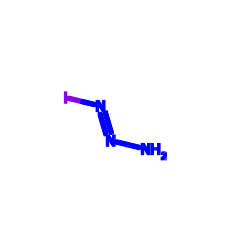 NN=NI